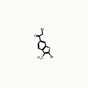 Cc1c(Br)sc2cc(C(=O)CBr)ccc12